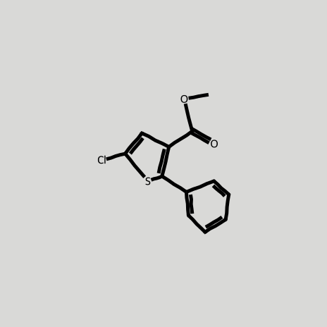 COC(=O)c1cc(Cl)sc1-c1ccccc1